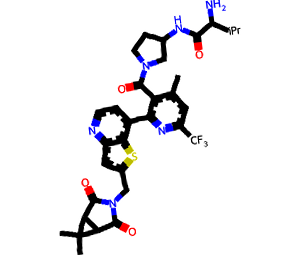 Cc1cc(C(F)(F)F)nc(-c2ccnc3cc(CN4C(=O)C5C(C4=O)C5(C)C)sc23)c1C(=O)N1CCC(NC(=O)C(N)C(C)C)C1